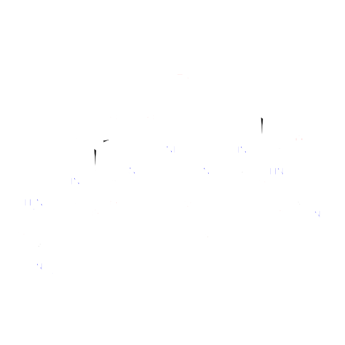 CNC(=O)CNC(=O)[C@H](Cc1ccc(O)cc1)NC(=O)[C@H](CCSC)NC(=O)[C@H](Cc1ccc(O)cc1)NC(=O)C(NC(=O)[C@H](CC(C)C)NC(=O)[C@@H](N)CC(N)=O)[C@@H](C)O